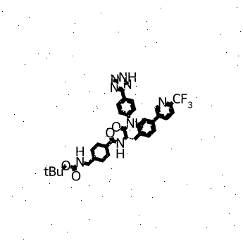 CC(C)(C)OC(=O)NCC1CCC(C(=O)N[C@@H](Cc2ccc(-c3ccc(C(F)(F)F)nc3)cc2)C(=O)Nc2ccc(-c3nn[nH]n3)cc2)CC1